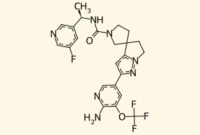 C[C@@H](NC(=O)N1CCC2(CCn3nc(-c4cnc(N)c(OC(F)(F)F)c4)cc32)C1)c1cncc(F)c1